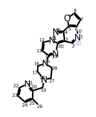 C/N=C\c1c(-c2ccco2)nn2ccc(N3CCN(Cc4ncccc4C)CC3)nc12